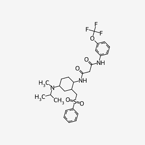 CC(C)N(C)C1CCC(NC(=O)CC(=O)Nc2cccc(OC(F)(F)F)c2)C(CS(=O)(=O)c2ccccc2)C1